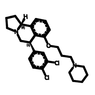 Clc1ccc([C@H]2CN3CCC[C@@H]3c3cccc(OCCCN4CCCCC4)c32)cc1Cl